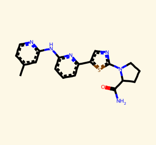 Cc1ccnc(Nc2cccc(-c3cnc(N4CCCC4C(N)=O)s3)n2)c1